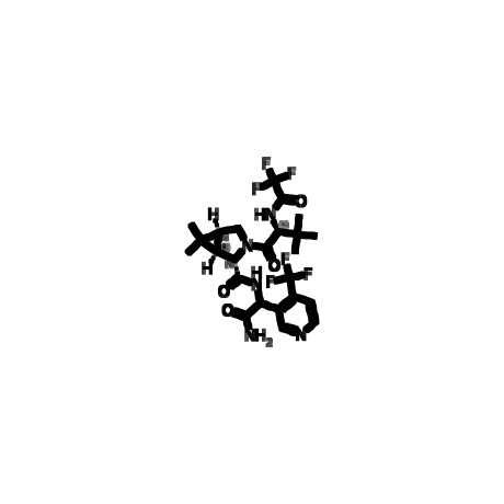 CC(C)(C)[C@H](NC(=O)C(F)(F)F)C(=O)N1C[C@H]2[C@@H]([C@H]1C(=O)NC(C(N)=O)c1cnccc1C(F)(F)F)C2(C)C